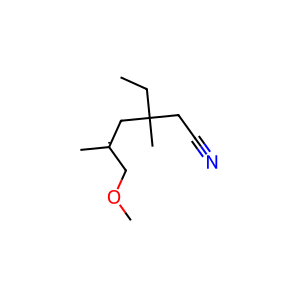 CCC(C)(CC#N)C[C](C)COC